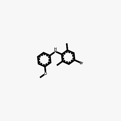 COc1cccc(Nc2c(C)cc(Br)cc2C)c1